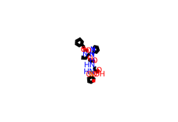 O=C(COC1(CNc2ccccn2)CCCN1C(=O)OCc1ccccc1)NCC(NS(=O)(=O)c1ccccc1)C(=O)O